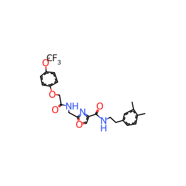 Cc1ccc(CCNC(=O)c2coc(CNC(=O)COc3ccc(OC(F)(F)F)cc3)n2)cc1C